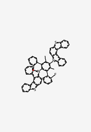 Cc1c(-c2ccccc2F)c(-n2c3ccccc3c3c4c(ccc32)sc2ccccc24)c(-c2ccccc2F)c(C)c1-n1c2ccccc2c2c3c(ccc21)sc1ccccc13